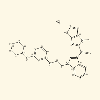 Cl.Cn1c(C(=O)c2cn(CCOc3cccc(OC4CCNCC4)c3)c3ccccc23)cc2sccc21